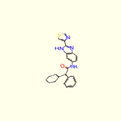 O=C(Nc1ccc2nc(-c3cscn3)[nH]c2c1)C(c1ccccc1)C1CCCCC1